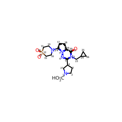 O=C(O)N1CCC(c2nn3c(N4CCS(=O)(=O)CC4)ccc3c(=O)n2CC2CC2)C1